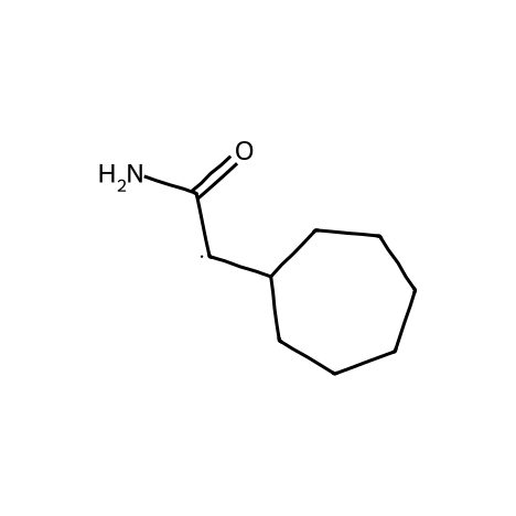 NC(=O)[CH]C1CCCCCC1